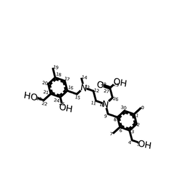 Cc1cc(CO)c(C)c(CN(CCN(C)Cc2cc(C)cc(CO)c2O)CC(=O)O)c1